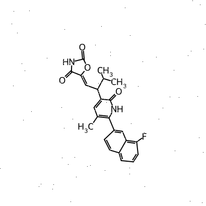 Cc1cc(C(C=C2OC(=O)NC2=O)C(C)C)c(=O)[nH]c1-c1ccc2cccc(F)c2c1